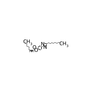 CCCCCCCCc1cnc(-c2ccc(OC(=O)[C@@H]3C[C@H]3CCCCCC)cc2)nc1